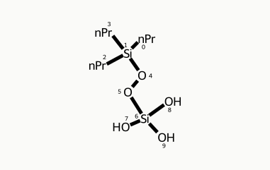 CCC[Si](CCC)(CCC)OO[Si](O)(O)O